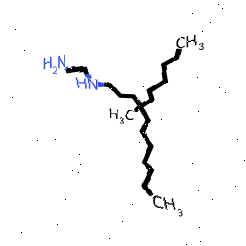 CCCCCCCC(C)(CCCCCC)CCCNCCN